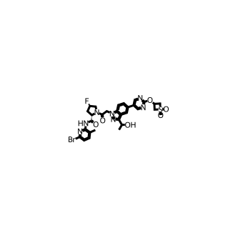 Cc1ccc(Br)nc1NC(=O)[C@@H]1C[C@@H](F)CN1C(=O)Cn1nc(C(C)O)c2cc(-c3cnc(OC4CS(=O)(=O)C4)nc3)ccc21